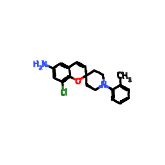 Cc1ccccc1N1CCC2(C=Cc3cc(N)cc(Cl)c3O2)CC1